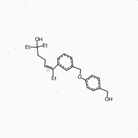 CC/C(=C/CCC(O)(CC)CC)c1cccc(COc2ccc(CO)cc2)c1